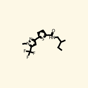 CCC(C)CNC(=O)c1ccc(-c2cc(C(F)(F)F)n(C)n2)s1